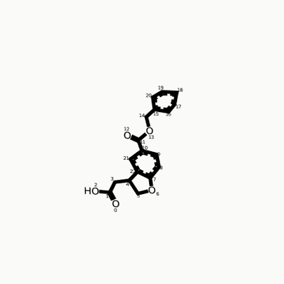 O=C(O)CC1COc2ccc(C(=O)OCc3ccccc3)cc21